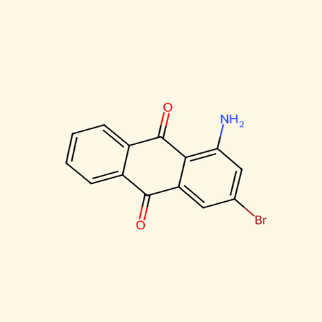 Nc1cc(Br)cc2c1C(=O)c1ccccc1C2=O